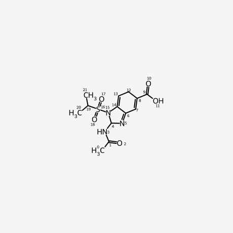 CC(=O)NC1N=C2C=C(C(=O)O)CC=C2N1S(=O)(=O)C(C)C